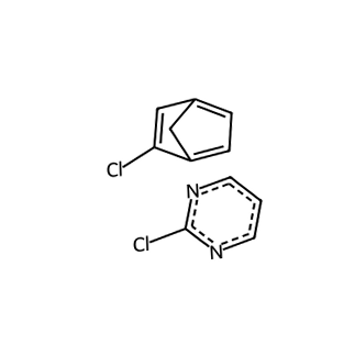 ClC1=CC2=CC=C1C2.Clc1ncccn1